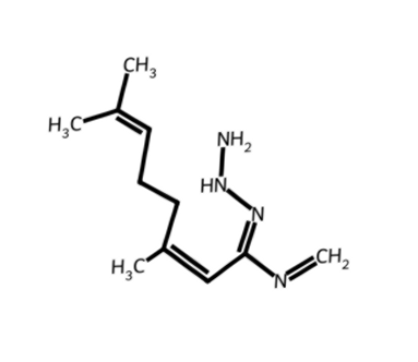 C=NC(C=C(C)CCC=C(C)C)=NNN